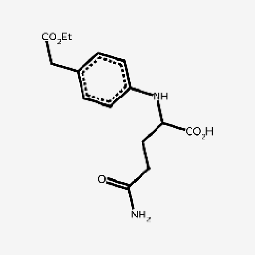 CCOC(=O)Cc1ccc(NC(CCC(N)=O)C(=O)O)cc1